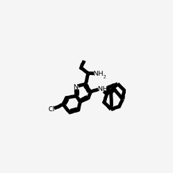 CCC(N)c1nc2cc(Cl)ccc2cc1NC12CC3CC(CC(C3)C1)C2